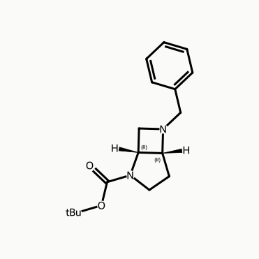 CC(C)(C)OC(=O)N1CC[C@@H]2[C@H]1CN2Cc1ccccc1